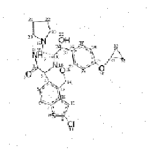 NC(=O)C1c2ccc3sc(Cl)cc3c2CON1[C@H](CN1CCCC1)[C@H](O)c1ccc(OC2CC2)cc1